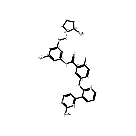 CNc1nccc(-c2cccnc2Oc2ccc(F)c(C(=O)Nc3cc(OC[C@@H]4CCCN4C)cc(C(F)(F)F)c3)c2)n1